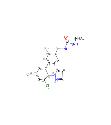 CC(=O)NNC(=O)NCc1ccc(-c2cc(Cl)cc(Cl)c2-n2cccn2)cc1F